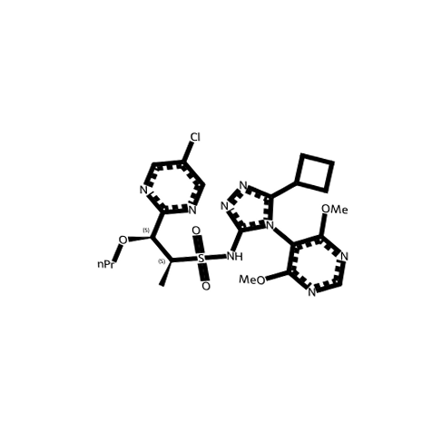 CCCO[C@@H](c1ncc(Cl)cn1)[C@H](C)S(=O)(=O)Nc1nnc(C2CCC2)n1-c1c(OC)ncnc1OC